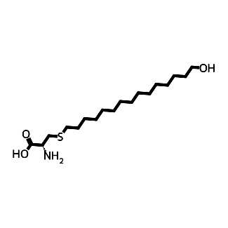 N[C@@H](CSCCCCCCCCCCCCCCCO)C(=O)O